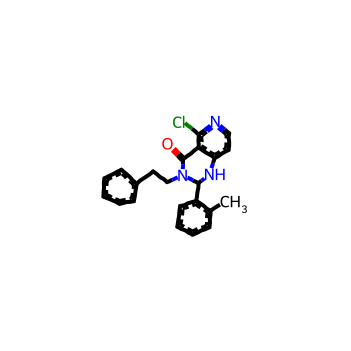 Cc1ccccc1C1Nc2ccnc(Cl)c2C(=O)N1CCc1ccccc1